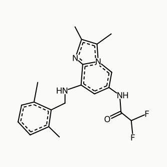 Cc1cccc(C)c1CNc1cc(NC(=O)C(F)F)cn2c(C)c(C)nc12